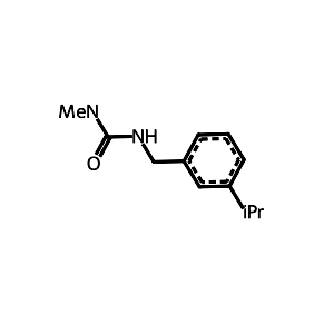 CNC(=O)NCc1cccc(C(C)C)c1